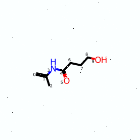 C=C(C)NC(=O)CCCO